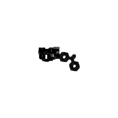 C=C(c1ccccc1)c1ccc([SiH](COC)CN2CCOCC2)cc1